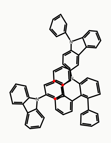 c1ccc(-c2ccccc2-c2c(-c3ccccc3)cccc2N(c2ccc(-n3c4ccccc4c4ccccc43)cc2)c2ccc3c(c2)c2ccccc2n3-c2ccccc2)cc1